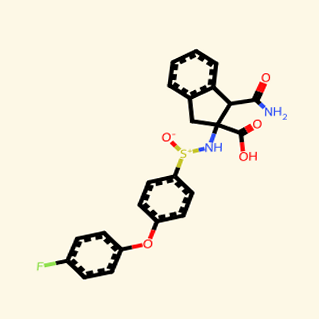 NC(=O)C1c2ccccc2CC1(N[S+]([O-])c1ccc(Oc2ccc(F)cc2)cc1)C(=O)O